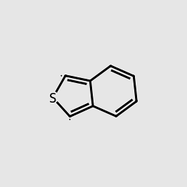 [c]1s[c]c2ccccc12